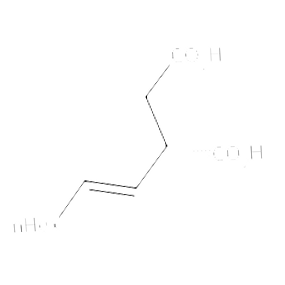 CCCCCCC=C[C@H](CC(=O)O)C(=O)O